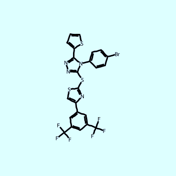 FC(F)(F)c1cc(-c2csc(Sc3nnc(-c4cccs4)n3-c3ccc(Br)cc3)n2)cc(C(F)(F)F)c1